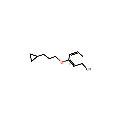 C/C=C\C(=C/CC#N)OCCCC1CC1